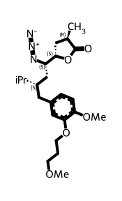 COCCCOc1cc(C[C@@H](C[C@H](N=[N+]=[N-])[C@@H]2C[C@@H](C)C(=O)O2)C(C)C)ccc1OC